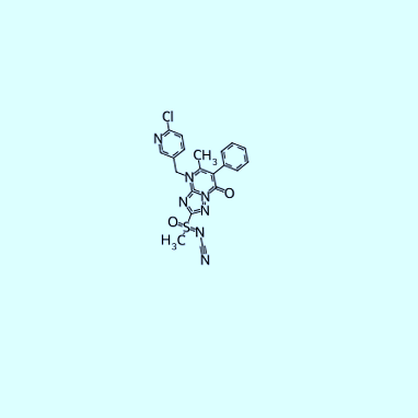 Cc1c(-c2ccccc2)c(=O)n2nc(S(C)(=O)=NC#N)nc2n1Cc1ccc(Cl)nc1